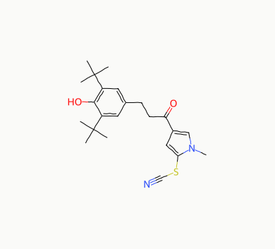 Cn1cc(C(=O)CCc2cc(C(C)(C)C)c(O)c(C(C)(C)C)c2)cc1SC#N